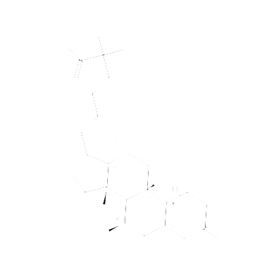 C[C@H](CCCC(C)(O)C(=O)O)[C@H]1CC[C@H]2[C@@H]3[C@H](O)CC4=CC(=O)CC[C@]4(C)[C@H]3CC[C@]12C